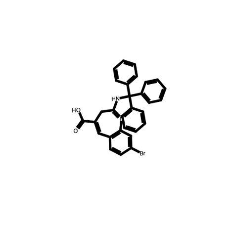 O=C(O)C1=Cc2ccc(Br)cc2N=C(NC(c2ccccc2)(c2ccccc2)c2ccccc2)C1